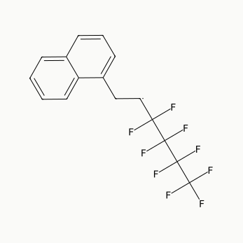 FC(F)(F)C(F)(F)C(F)(F)C(F)(F)[CH]Cc1cccc2ccccc12